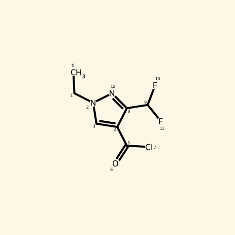 CCn1cc(C(=O)Cl)c(C(F)F)n1